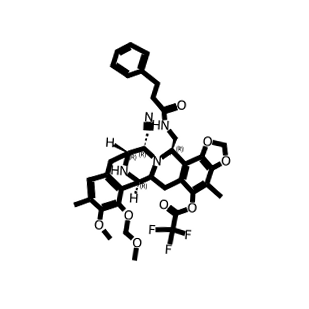 COCOc1c(OC)c(C)cc2c1[C@H]1N[C@H](C2)[C@H](C#N)N2C1Cc1c(OC(=O)C(F)(F)F)c(C)c3c(c1[C@@H]2CNC(=O)CCc1ccccc1)OCO3